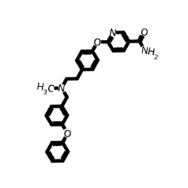 CN(CCc1ccc(Oc2ccc(C(N)=O)cn2)cc1)Cc1cccc(Oc2ccccc2)c1